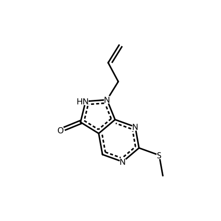 C=CCn1[nH]c(=O)c2cnc(SC)nc21